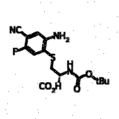 CC(C)(C)OC(=O)N[C@@H](CSc1cc(F)c(C#N)cc1N)C(=O)O